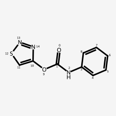 O=C(Nc1ccccc1)Oc1csnn1